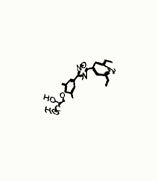 CCc1cc(-c2nc(-c3cc(C)c(OC[C@H](O)CO)c(C)c3)no2)cc(CC)n1